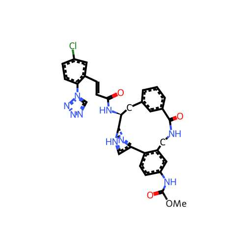 COC(=O)Nc1ccc2c(c1)CNC(=O)c1cccc(c1)C[C@H](NC(=O)/C=C/c1cc(Cl)ccc1-n1cnnn1)c1nc-2c[nH]1